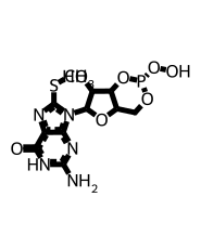 CSc1nc2c(=O)[nH]c(N)nc2n1C1OC2COP(OO)OC2C1O